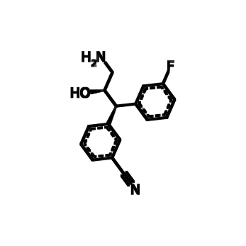 N#Cc1cccc([C@H](c2cccc(F)c2)[C@@H](O)CN)c1